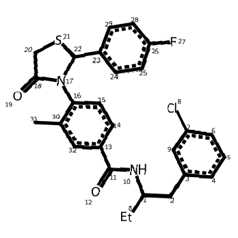 CCC(Cc1cccc(Cl)c1)NC(=O)c1ccc(N2C(=O)CSC2c2ccc(F)cc2)c(C)c1